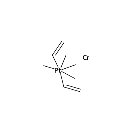 C=[CH][Pt]([CH3])([CH3])([CH3])([CH3])[CH]=C.[Cr]